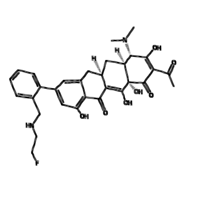 CC(=O)C1=C(O)[C@@H](N(C)C)[C@@H]2C[C@@H]3Cc4cc(-c5ccccc5CNCCF)cc(O)c4C(=O)C3=C(O)[C@]2(O)C1=O